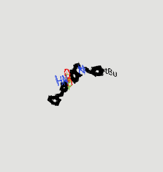 CC(C)(C)c1ccc(CCN2CCc3cc(S(=O)(=O)Nc4ccc(CCC5CCCCC5)cc4F)ccc3C2)cc1